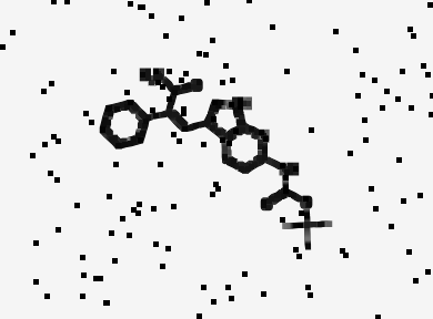 CC(C)(C)OC(=O)Nc1ccc2c(C=C(C(N)=O)c3ccccc3)c[nH]c2n1